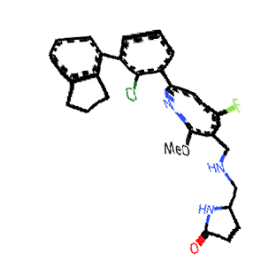 COc1nc(-c2cccc(-c3cccc4c3CCC4)c2Cl)cc(F)c1CNCC1CCC(=O)N1